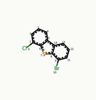 Clc1cccc2c1sc1c(Br)cccc12